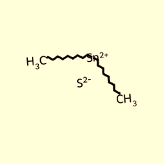 CCCCCCCCC[CH2][Sn+2][CH2]CCCCCCCCC.[S-2]